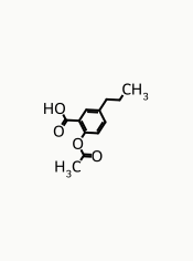 CCCc1ccc(OC(C)=O)c(C(=O)O)c1